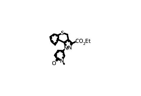 CCOC(=O)c1nn(-c2ccc(=O)n(C)c2)c2c1CSc1ccccc1-2